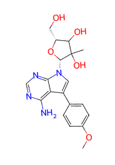 COc1ccc(-c2cn([C@@H]3O[C@H](CO)C(O)C3(C)O)c3ncnc(N)c23)cc1